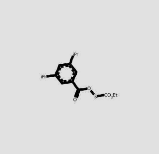 CCOC(=O)SOC(=O)c1cc(C(C)C)cc(C(C)C)c1